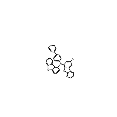 Brc1cc(N(c2ccc(-c3ccccc3)cc2)c2cccc3sc4ccccc4c23)c2sc3ccccc3c2c1